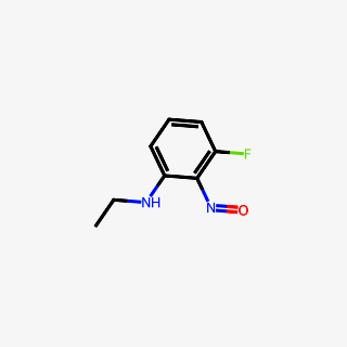 CCNc1cccc(F)c1N=O